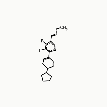 CC/C=C/c1ccc(C2=CCC(C3CCCC3)CC2)c(F)c1F